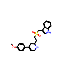 COc1ccc(C2=CCNC(CCS(=O)(=O)Cc3c[nH]c4ccccc34)C2)cc1